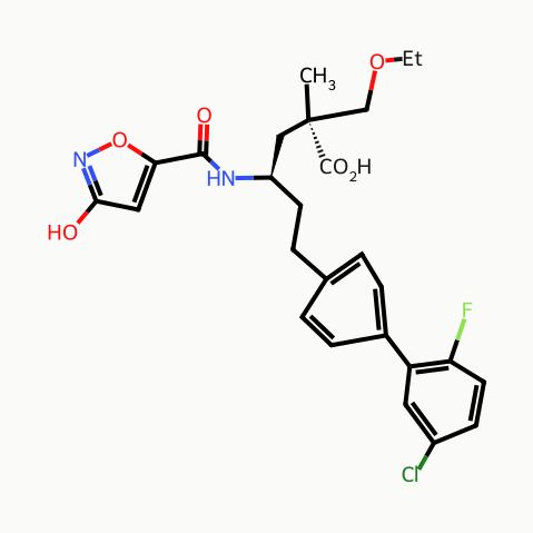 CCOC[C@](C)(C[C@@H](CCc1ccc(-c2cc(Cl)ccc2F)cc1)NC(=O)c1cc(O)no1)C(=O)O